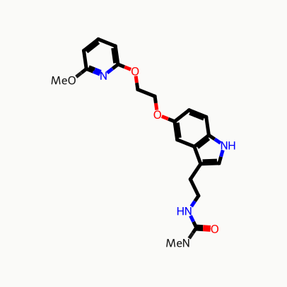 CNC(=O)NCCc1c[nH]c2ccc(OCCOc3cccc(OC)n3)cc12